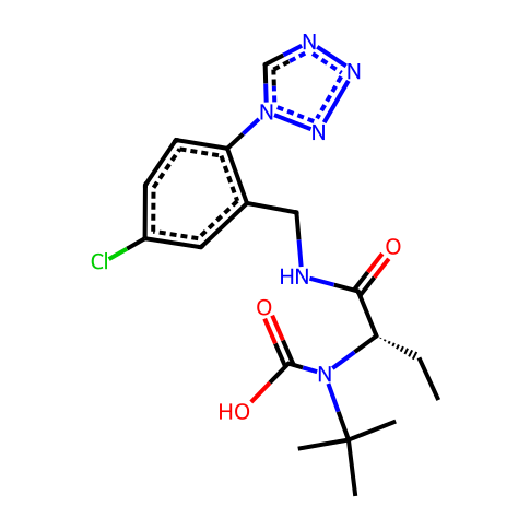 CC[C@@H](C(=O)NCc1cc(Cl)ccc1-n1cnnn1)N(C(=O)O)C(C)(C)C